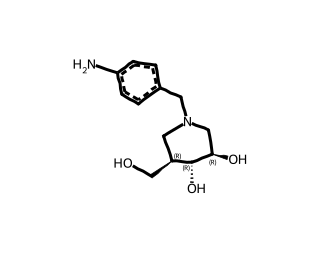 Nc1ccc(CN2C[C@H](CO)[C@@H](O)[C@H](O)C2)cc1